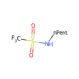 CCCCCNS(=O)(=O)C(F)(F)F